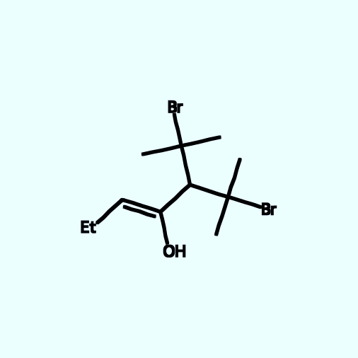 CCC=C(O)C(C(C)(C)Br)C(C)(C)Br